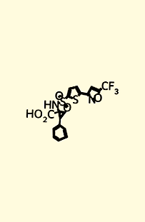 O=C(O)[C@@]1(NS(=O)(=O)c2ccc(-c3cc(C(F)(F)F)on3)s2)C[C@H]1c1ccccc1